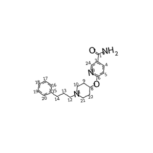 NC(=O)c1ccc(OC2CCN(CCCc3ccccc3)CC2)nc1